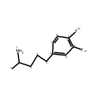 CC(N)CCCc1ccc(F)c(F)c1